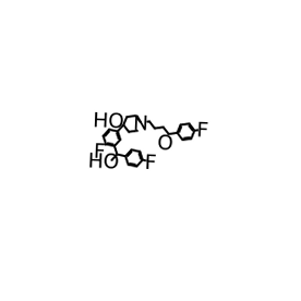 O=C(CCCN1CCC(O)(c2ccc(F)c(C(O)c3ccc(F)cc3)c2)CC1)c1ccc(F)cc1